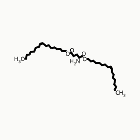 CCCCCCCC/C=C\CCCCCCCCOC(=O)CC[C@H](N)C(=O)OCCCCCCCC/C=C\CCCCCCCC